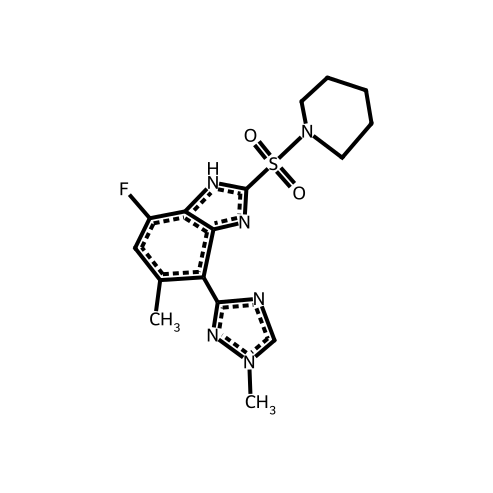 Cc1cc(F)c2[nH]c(S(=O)(=O)N3CCCCC3)nc2c1-c1ncn(C)n1